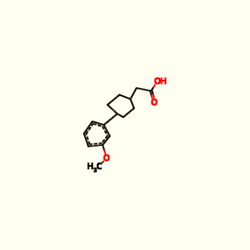 COc1cccc(C2CCC(CC(=O)O)CC2)c1